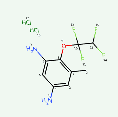 Cc1cc(N)cc(N)c1OC(F)(F)C(F)F.Cl.Cl